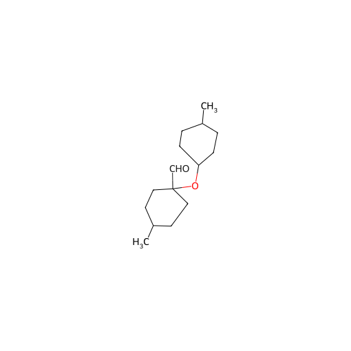 CC1CCC(OC2(C=O)CCC(C)CC2)CC1